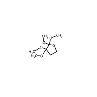 COC1(OC)CCSC1(OC)OC